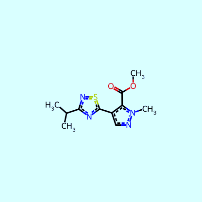 COC(=O)c1c(-c2nc(C(C)C)ns2)cnn1C